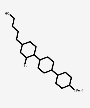 CCCCCC1CCC(C2CCC(C3CCC(CCCCO)CC3CC)CC2)CC1